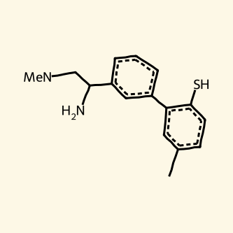 CNCC(N)c1cccc(-c2cc(C)ccc2S)c1